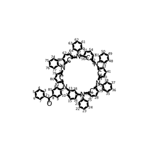 O=C(c1ccccc1)c1ccc(-n2c3cccc(c3)n(-c3ccccc3)c3cccc(c3)n(-c3ccccc3)c3cccc(c3)n(-c3ccccc3)c3cccc(c3)n(-c3ccccc3)c3cccc(c3)n(-c3ccccc3)c3cccc2c3)cc1